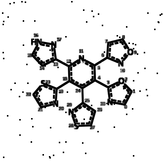 c1coc(-c2c(-c3ccon3)nc(-c3cc[nH]n3)c(-c3nccs3)c2-c2ccsn2)n1